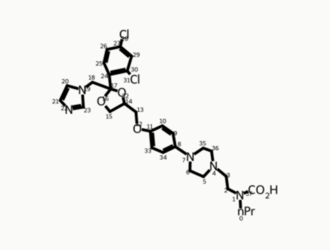 CCCN(CCN1CCN(c2ccc(OCC3COC(Cn4ccnc4)(c4ccc(Cl)cc4Cl)O3)cc2)CC1)C(=O)O